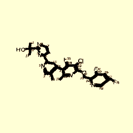 Cc1cnc(-c2ccnc(C(C)(C)O)n2)cc1-c1c(C)nc(OCc2ncc(F)cc2F)c(Cl)c1F